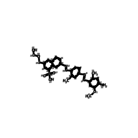 COc1cc(N=Nc2ccc(N=Nc3ccc4cc(SOOO)cc(S(=O)(=O)O)c4c3)c(C)c2)c(C)cc1N